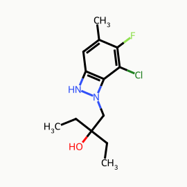 CCC(O)(CC)Cn1[nH]c2cc(C)c(F)c(Cl)c21